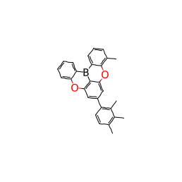 Cc1ccc(-c2cc3c4c(c2)Oc2c(C)cccc2B4c2ccccc2O3)c(C)c1C